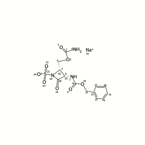 NC(=O)OC[C@@H]1[C@H](NC(=O)OCc2ccccc2)C(=O)N1S(=O)(=O)[O-].[Na+]